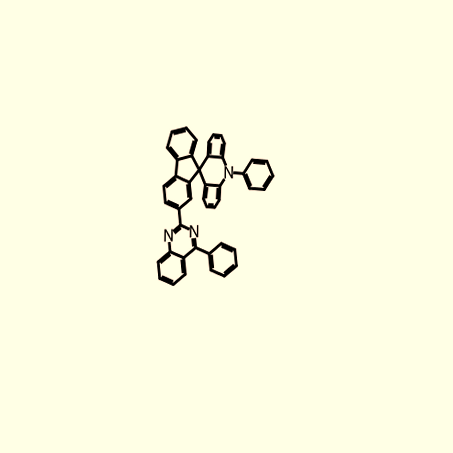 c1ccc(-c2nc(-c3ccc4c(c3)C3(c5ccccc5-4)c4ccccc4N(c4ccccc4)c4ccccc43)nc3ccccc23)cc1